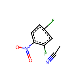 CC#N.O=[N+]([O-])c1ccc(F)cc1F